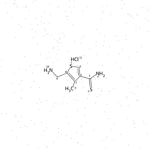 Cc1c(C(N)=S)csc1CN.Cl